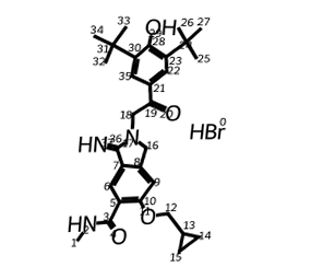 Br.CNC(=O)c1cc2c(cc1OCC1CC1)CN(CC(=O)c1cc(C(C)(C)C)c(O)c(C(C)(C)C)c1)C2=N